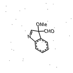 COC1(C=O)C=Nc2ccccc21